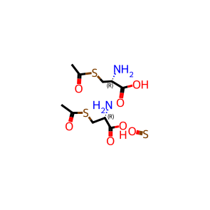 CC(=O)SC[C@H](N)C(=O)O.CC(=O)SC[C@H](N)C(=O)O.O=S